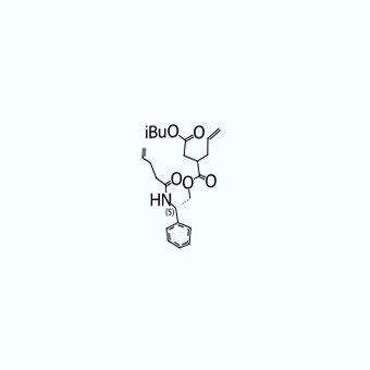 C=CCCC(=O)N[C@H](COC(=O)C(CC=C)CC(=O)OCC(C)C)c1ccccc1